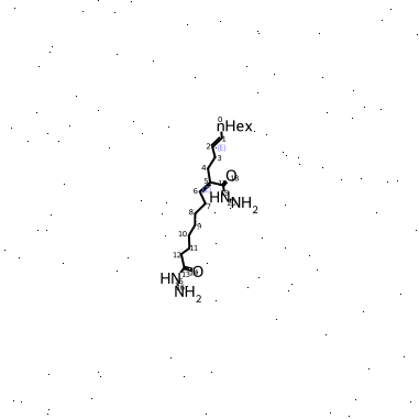 CCCCCC/C=C/CC/C(=C/CCCCCCC(=O)NN)C(=O)NN